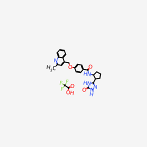 Cc1cc(COc2ccc(C(=O)NC3CCCC3c3n[nH]c(=O)[nH]3)cc2)c2ccccc2n1.O=C(O)C(F)(F)F